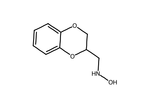 ONCC1COc2ccccc2O1